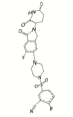 N#Cc1cc(S(=O)(=O)N2CCN(c3cc4c(cc3F)C(=O)N(C3CCC(=O)NC3=O)C4)CC2)ccc1F